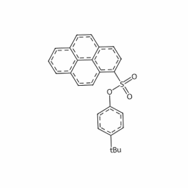 CC(C)(C)c1ccc(OS(=O)(=O)c2ccc3ccc4cccc5ccc2c3c45)cc1